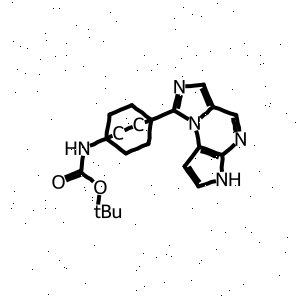 CC(C)(C)OC(=O)NC12CCC(c3ncc4cnc5[nH]ccc5n34)(CC1)CC2